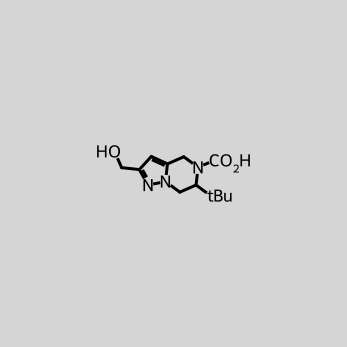 CC(C)(C)C1Cn2nc(CO)cc2CN1C(=O)O